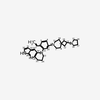 C=Cc1ccc(N2CCC3(CC2)CC(N2CCCC2)C3)cc1N1CCCc2nc3[nH]ccc3cc21